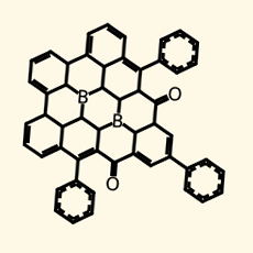 O=C1C2=CC(c3ccccc3)=CC3C(=O)C4C(c5ccccc5)=C5C=CC=C6C7C=CC=C8C9C=CC=C%10C(c%11ccccc%11)=C1C1B(C23)C4C(B(C87)C1C%109)C65